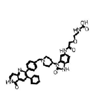 O=C(O)NCCOCC(=O)Nc1ccc2[nH]c(=O)n(C3CCN(Cc4ccc(-c5nc6cc[nH]c(=O)c6cc5-c5ccccc5)cc4)CC3)c2c1